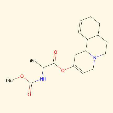 CC(C)C(NC(=O)OC(C)(C)C)C(=O)OC1=CCN2CCC3CCC=CC3C2C1